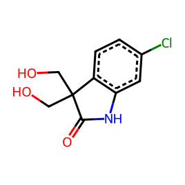 O=C1Nc2cc(Cl)ccc2C1(CO)CO